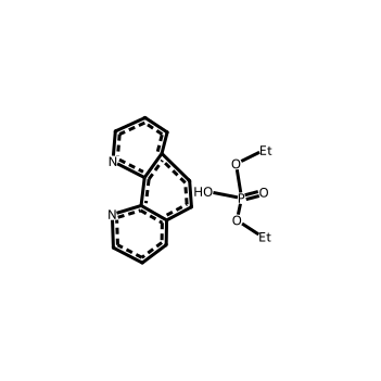 CCOP(=O)(O)OCC.c1cnc2c(c1)ccc1cccnc12